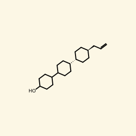 C=CC[C@H]1CC[C@H](C2CCC(C3CCC(O)CC3)CC2)CC1